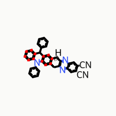 N#Cc1cc2nc3c(nc2cc1C#N)[C@H]1c2ccc(N(c4ccccc4)c4ccccc4)cc2C3c2ccc(C(c3ccccc3)c3ccccc3)cc21